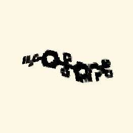 Cc1ccc(S(=O)(=O)c2cn(CS(=O)(=O)F)nn2)cc1